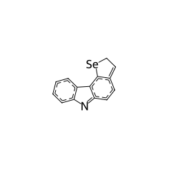 C1=c2ccc3c(c2[Se]C1)-c1ccccc1N=3